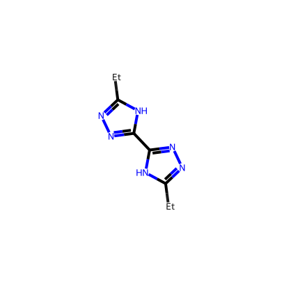 CCc1nnc(-c2nnc(CC)[nH]2)[nH]1